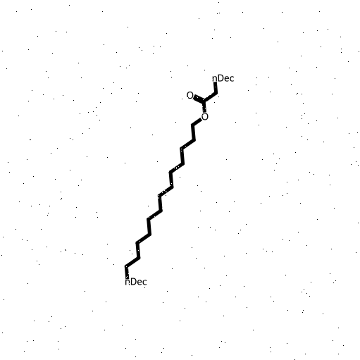 CCCCCCCCCCCCCCCCCCCCCCCOC(=O)CCCCCCCCCCC